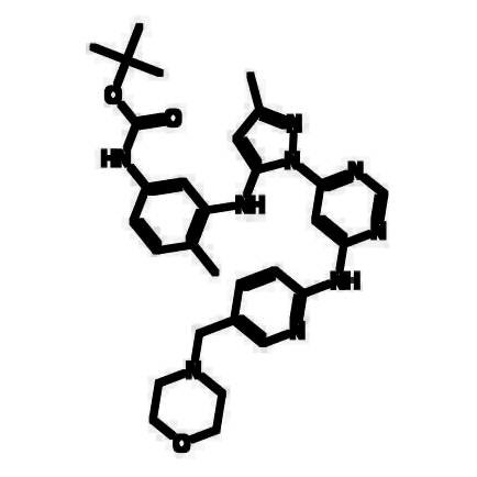 Cc1cc(Nc2cc(NC(=O)OC(C)(C)C)ccc2C)n(-c2cc(Nc3ccc(CN4CCOCC4)cn3)ncn2)n1